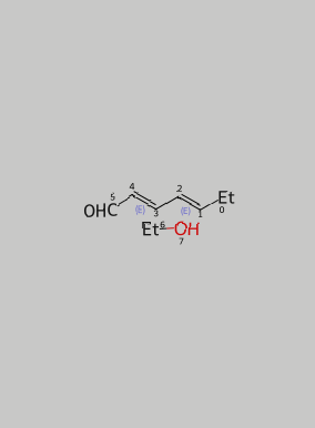 CC/C=C/C=C/C=O.CCO